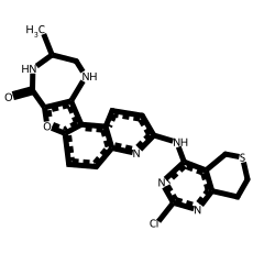 CC1CNc2c(oc3ccc4nc(Nc5nc(Cl)nc6c5CSCC6)ccc4c23)C(=O)N1